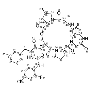 Cc1cccc(C[C@H](NC(=O)Nc2ccc(Cl)cc2F)C(=O)N[C@H]2COC(=O)[C@@H]3C[C@@H](C)CN3C(=O)[C@H](C)NC(=O)[C@@H]3CNC(=O)CN3C(=O)[C@@H]3CCCN3C2=O)c1